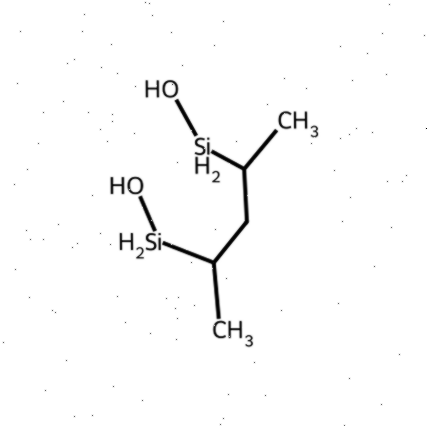 CC(CC(C)[SiH2]O)[SiH2]O